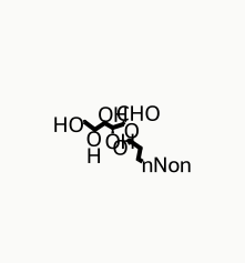 CCCCCCCCCCCC(=O)O[C@@H](C=O)[C@@H](O)[C@@H](O)[C@H](O)CO